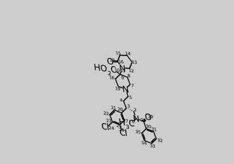 CN(C[C@@H](CCN1CCC(C(=O)O)(N2CCCCC2=O)CC1)c1ccc(Cl)c(Cl)c1)C(=O)c1ccccc1